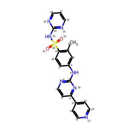 Cc1cc(Nc2nccc(-c3ccncc3)n2)ccc1S(=O)(=O)Nc1ncccn1